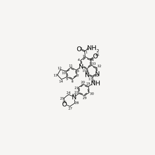 NC(=O)c1cn(-c2ccc3c(c2)CCC3)c2nc(Nc3ccc(N4CCOCC4)cc3)ncc2c1=O